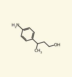 CC(CCO)c1ccc(N)cc1